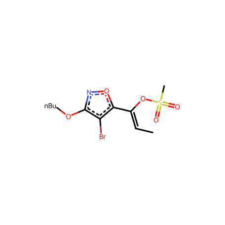 CC=C(OS(C)(=O)=O)c1onc(OCCCC)c1Br